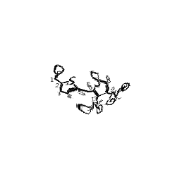 O=Cc1ccc(-c2scc([N+](=O)[O-])c2[N+](=O)[O-])s1